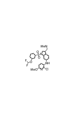 CNCc1cn(S(=O)(=O)c2cccc(OC(F)F)c2)c2cc(Nc3ccc(OC)nc3Cl)ccc12